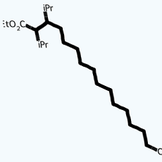 CCOC(=O)CCCCCCCCCCCCC(C(C)C)C(C(=O)OCC)C(C)C